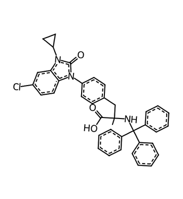 CC(Cc1ccc(-n2c(=O)n(C3CC3)c3cc(Cl)ccc32)cc1)(NC(c1ccccc1)(c1ccccc1)c1ccccc1)C(=O)O